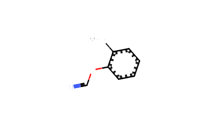 COc1ccccc1OC=N